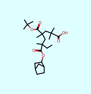 CCC(C)(CC(C)(CC(C)(C)C(=O)O)C(=O)OC(C)(C)C)C(=O)OC1CC2CCC1C2